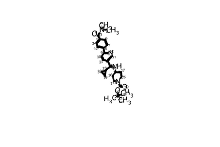 CN(C)C(=O)c1ccc(-c2ccc(C(NC3CCN(C(=O)OC(C)(C)C)CC3)C3CC3)cn2)cc1